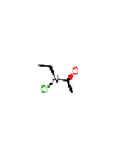 C[CH2][Al]([Cl])[C](C)=O